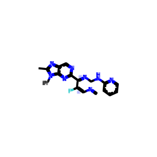 C=N/C=C(F)\C(=N/CNc1ccccn1)c1ncc2nc(C)n(C(C)C)c2n1